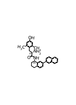 Cc1cc(O)cc(C)c1C[C@H](N)C(=O)N[C@@H]1CCCc2ccc(-c3ccc4ccccc4c3)cc21